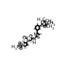 CC1(C)OB(c2cccc(-c3csc(NC(=O)CN(C=O)c4ccn(S(C)(=O)=O)c4)n3)c2)OC1(C)C